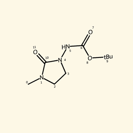 CN1CCN(NC(=O)OC(C)(C)C)C1=O